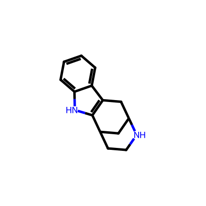 c1ccc2c3c([nH]c2c1)C1CCNC(C3)C1